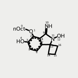 CCCCCCCCOc1c(O)ccc2c1C(=N)N(O)C21CCC1